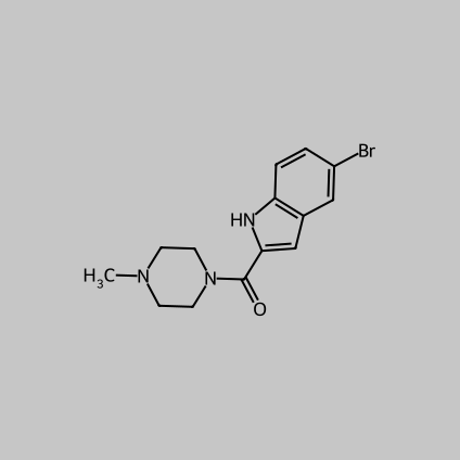 CN1CCN(C(=O)c2cc3cc(Br)ccc3[nH]2)CC1